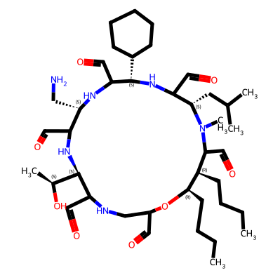 CCCC[C@@H]1C(C=O)N(C)[C@@H](CC(C)C)C(C=O)N[C@@H](C2CCCCC2)C(C=O)N[C@@H](CN)C(C=O)N[C@H]([C@H](C)O)C(C=O)NCC(C=O)O[C@@H]1CCCC